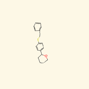 c1ccc(CSc2ccc(C3CCCCO3)cc2)cc1